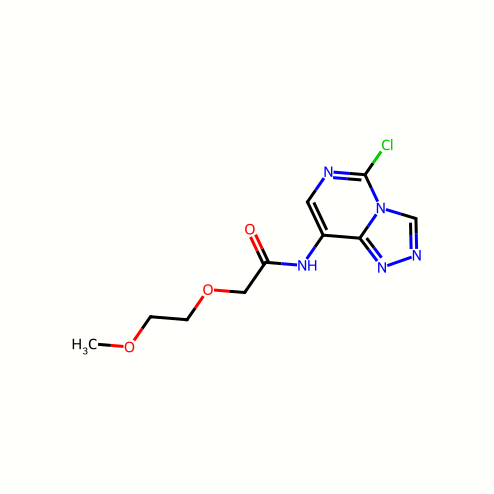 COCCOCC(=O)Nc1cnc(Cl)n2cnnc12